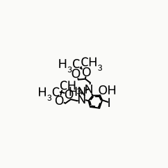 CC1(C)OCC(CN2NN(CC3COC(C)(C)O3)c3c2ccc(I)c3O)O1